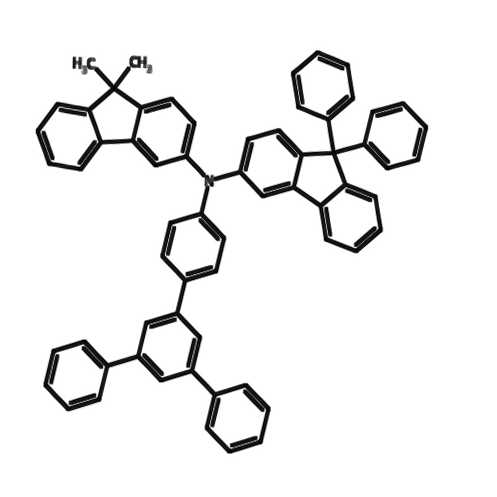 CC1(C)c2ccccc2-c2cc(N(c3ccc(-c4cc(-c5ccccc5)cc(-c5ccccc5)c4)cc3)c3ccc4c(c3)-c3ccccc3C4(c3ccccc3)c3ccccc3)ccc21